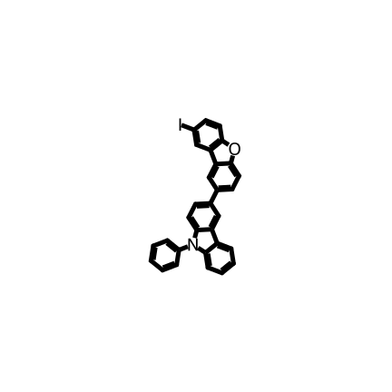 Ic1ccc2oc3ccc(-c4ccc5c(c4)c4ccccc4n5-c4ccccc4)cc3c2c1